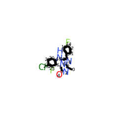 CC1=NC(=O)Cn2c1nc(-c1ccc(F)cc1)c2Nc1ccc(Cl)c(F)c1